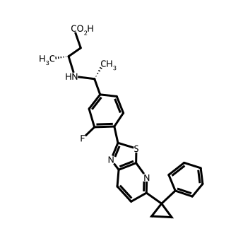 C[C@H](CC(=O)O)N[C@H](C)c1ccc(-c2nc3ccc(C4(c5ccccc5)CC4)nc3s2)c(F)c1